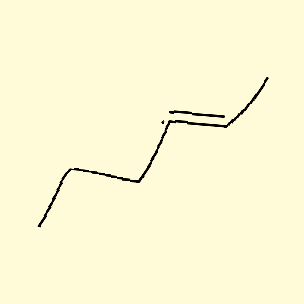 C/C=[C]/CCC